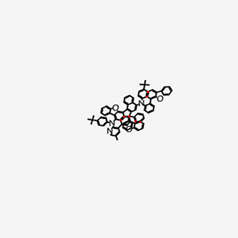 Cc1cnc(N(c2ccc(C(C)(C)C)cc2)c2cc3c(c4oc5ccccc5c24)-c2c(cc(N(c4ccc(C(C)(C)C)cc4)c4ccccc4-c4cccc5c4oc4ccccc45)c4ccccc24)C3(c2ccccc2)c2ccccc2)c(-c2cccc3c2oc2ccccc23)c1